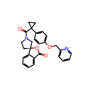 O=C1O[C@]2(CCN(C(=O)C3(c4ccc(OCc5ccccn5)cc4)CC3)C2)c2ccccc21